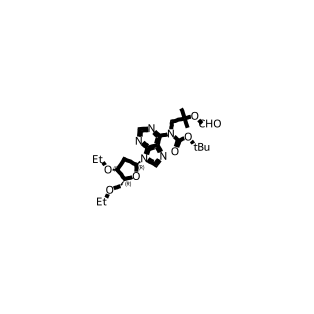 CCOC[C@H]1O[C@@H](n2cnc3c(N(CC(C)(C)OC=O)C(=O)OC(C)(C)C)ncnc32)C[C@H]1OCC